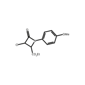 CCOC(=O)C1C(Cl)C(=O)N1c1ccc(OC)cc1